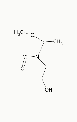 CCC(C)N([C]=O)CCO